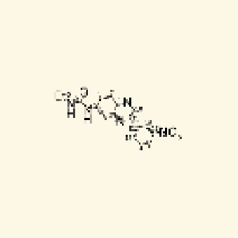 CCNC(=O)Nc1ccc2ncc(-c3cccc([N+](=O)[O-])c3)nc2n1